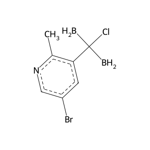 BC(B)(Cl)c1cc(Br)cnc1C